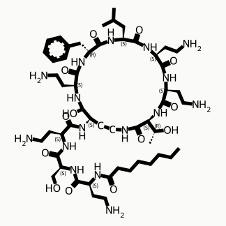 CCCCCCCC(=O)N[C@@H](CCN)C(=O)N[C@@H](CO)C(=O)N[C@@H](CCN)C(=O)N[C@H]1CCNC(=O)[C@H]([C@@H](C)O)NC(=O)[C@H](CCN)NC(=O)[C@H](CCN)NC(=O)[C@H](CC(C)C)NC(=O)[C@@H](Cc2ccccc2)NC(=O)[C@H](CCN)NC1O